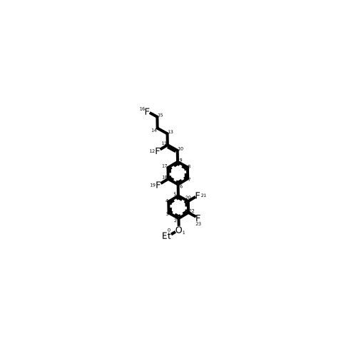 CCOc1ccc(-c2ccc(/C=C(\F)CCCF)cc2F)c(F)c1F